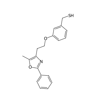 Cc1oc(-c2ccccc2)nc1CCOc1cccc(CS)c1